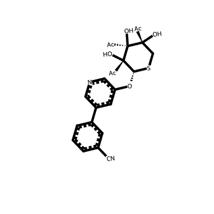 CC(=O)[C@]1(O)[C@@](O)(C(C)=O)CS[C@H](Oc2cncc(-c3cccc(C#N)c3)c2)[C@@]1(O)C(C)=O